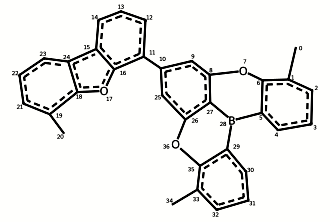 Cc1cccc2c1Oc1cc(-c3cccc4c3oc3c(C)cccc34)cc3c1B2c1cccc(C)c1O3